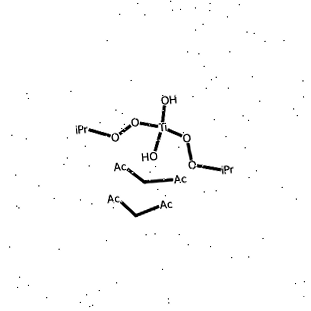 CC(=O)CC(C)=O.CC(=O)CC(C)=O.CC(C)O[O][Ti]([OH])([OH])[O]OC(C)C